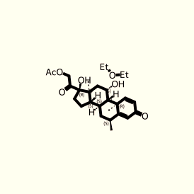 CC(=O)OCC(=O)[C@@]1(O)CC[C@H]2[C@@H]3C[C@H](C)C4=CC(=O)C=C[C@]4(C)[C@H]3[C@@H](O)C[C@@]21C.CCOCC